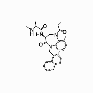 CCC(=O)N1C[C@H](NC(=O)[C@H](C)NC)C(=O)N(Cc2c(C)ccc3ccccc23)c2cccc(C)c21